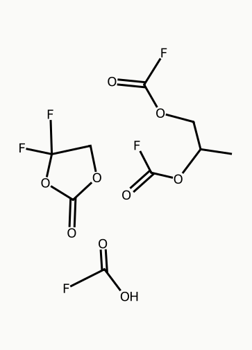 CC(COC(=O)F)OC(=O)F.O=C(O)F.O=C1OCC(F)(F)O1